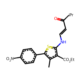 CCOC(=O)c1c(NC=CC(=O)C(C)C)sc(-c2ccc([N+](=O)[O-])cc2)c1C